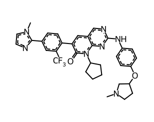 CN1CCC(Oc2ccc(Nc3ncc4cc(-c5ccc(-c6nccn6C)cc5C(F)(F)F)c(=O)n(C5CCCC5)c4n3)cc2)C1